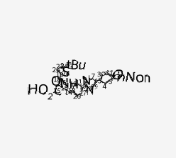 CCCCCCCCCOc1ccc(-c2cnc(-c3ccc(CC(NC(=O)c4ccc(C(C)(C)C)s4)C(=O)O)cc3)nc2)cc1